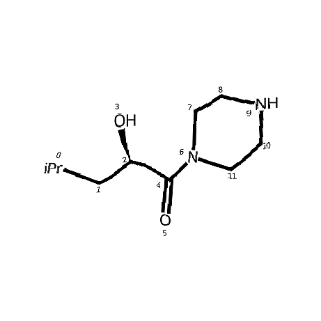 CC(C)C[C@@H](O)C(=O)N1CCNCC1